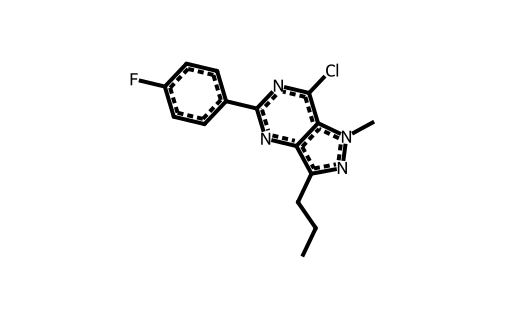 CCCc1nn(C)c2c(Cl)nc(-c3ccc(F)cc3)nc12